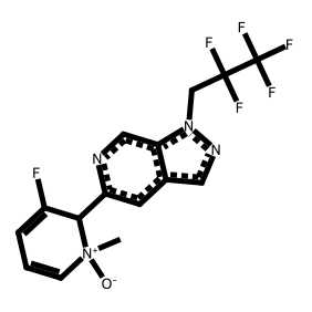 C[N+]1([O-])C=CC=C(F)C1c1cc2cnn(CC(F)(F)C(F)(F)F)c2cn1